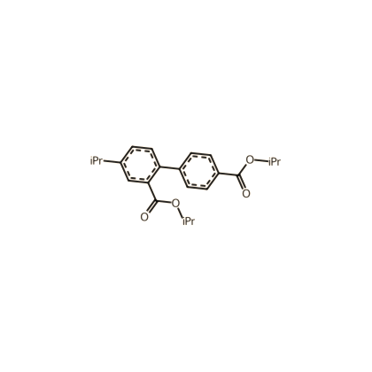 CC(C)OC(=O)c1ccc(-c2ccc(C(C)C)cc2C(=O)OC(C)C)cc1